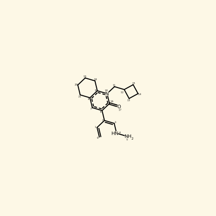 C=C/C(=C\NN)c1cc2c(n(CC3CCC3)c1=O)CCCC2